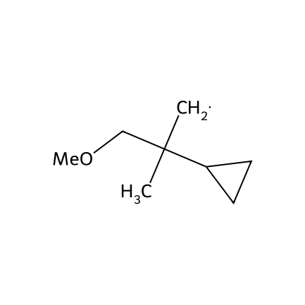 [CH2]C(C)(COC)C1CC1